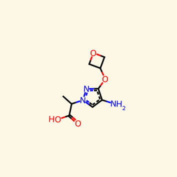 CC(C(=O)O)n1cc(N)c(OC2COC2)n1